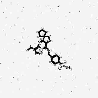 CCc1cnn2c(NCc3ccc(S(N)(=O)=O)cc3)c3c(nc12)C1(CCCC1)CC3